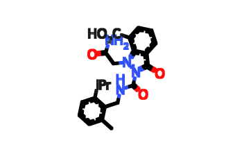 Cc1cccc(C(C)C)c1CNC(=O)n1c(=O)c2cccc(C(=O)O)c2n1CC(N)=O